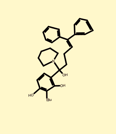 CC(C)(C)c1c(O)ccc(C(O)(CCC=C(c2ccccc2)c2ccccc2)N2CCCCC2)c1O